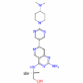 CCCC[C@](C)(CO)Nc1nc(N)nc2cc(-c3cnc(N4CCC(N(C)C)CC4)nc3)ncc12